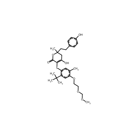 COCOCCOc1cc(C(C)(C)C)c(SC2=C(O)CC(C)(CCc3ccc(O)cc3)OC2=O)cc1C